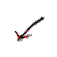 C=CCCCCCCCCCC(CCCCCCCCCCC(=O)O)(C(=O)O)C(=O)NCCOCCOCCOCCOCCOCCOCCOCCOCCOCCOCCOCCN=[N+]=[N-]